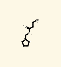 O=C(CCS)OCC1CCCC1